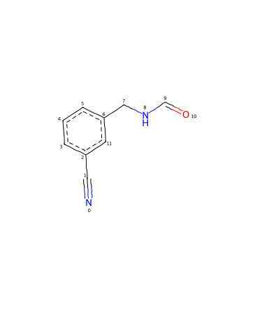 N#Cc1cccc(CNC=O)c1